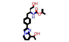 C=C(C)OC(=O)N[C@H](CCO)Cc1ccc(-c2cn3cccc(C(C)O)c3n2)cc1